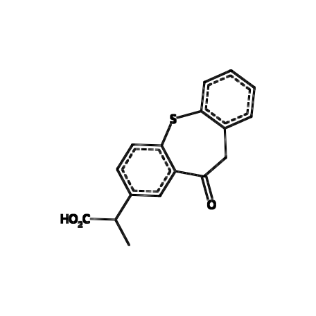 CC(C(=O)O)c1ccc2c(c1)C(=O)Cc1ccccc1S2